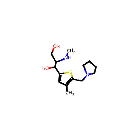 CNC(CO)C(O)c1cc(C)c(CN2CCCC2)s1